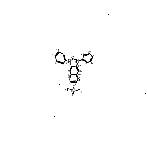 F[B-](F)(F)F.c1ccc(-n2c[n+](-c3ccccc3)c3cc4nccnc4cc32)cc1